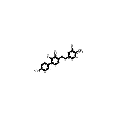 CCCc1ccc(-c2ccc(CCc3ccc(C(F)(F)F)c(F)c3)c(Cl)c2F)cc1